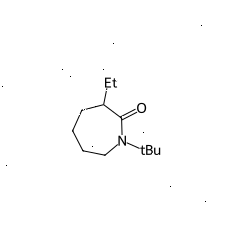 CCC1CCCCN(C(C)(C)C)C1=O